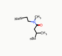 CCCCC(C)CC(=O)N(C)CCNC